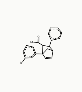 O=C(O)C1C(c2ccccc2)C2C=CC1(c1cccc(Br)c1)C2